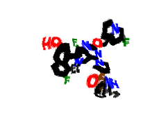 CCc1c(F)ccc2cc(O)cc(-c3ncc4c(N5CCC(S(C)(=N)=O)C5)nc(OC[C@@]56CCCN5C[C@H](F)C6)nc4c3F)c12